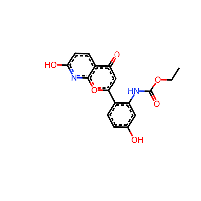 CCOC(=O)Nc1cc(O)ccc1-c1cc(=O)c2ccc(O)nc2o1